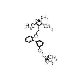 Cc1nn(C)c(C)c1CCOc1ccccc1-c1cccc(OCCN(C)C)c1